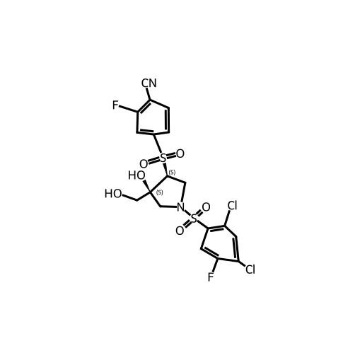 N#Cc1ccc(S(=O)(=O)[C@H]2CN(S(=O)(=O)c3cc(F)c(Cl)cc3Cl)C[C@]2(O)CO)cc1F